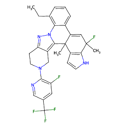 CCc1cccc2c1-n1nc3c(c1C1(C)C2=CC(C)(F)c2[nH]ccc21)CN(c1ncc(C(F)(F)F)cc1F)CC3